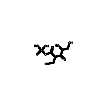 O=C(OP(=O)(O)O)C(CO)C(=O)C(O)CO